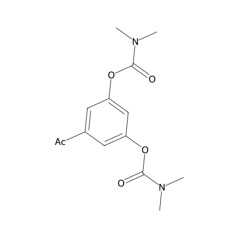 CC(=O)c1cc(OC(=O)N(C)C)cc(OC(=O)N(C)C)c1